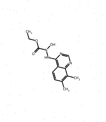 CCOC(=O)N(O)Nc1ncnc2c(C)c(C)ccc12